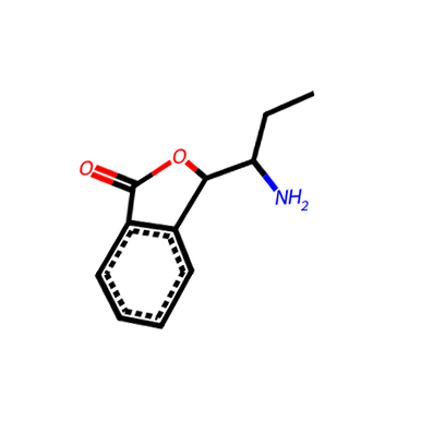 CCC(N)C1OC(=O)c2ccccc21